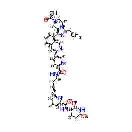 CCc1nc(-c2cccc3cc(-c4ccc(C(=O)NCCC#Cc5cccc(C(=O)NC6CCC(=O)NC6=O)n5)nc4)ncc23)c2n1CCN(C(C)=O)C2